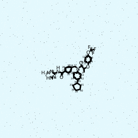 CC(Oc1ccc(OC(F)(F)F)cc1)C(=O)N(Cc1ccc(C(=O)N/C(N=N)=N/N)cc1)c1ccc(C2CCCCC2)cc1